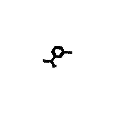 CCN(C(C)=O)c1cccc(C(C)=O)c1